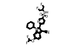 N#Cc1c(-c2ccc(S(=O)(=O)NC(CF)CF)cn2)n(C2CCCCC2)c2cc(OC(F)F)ccc12